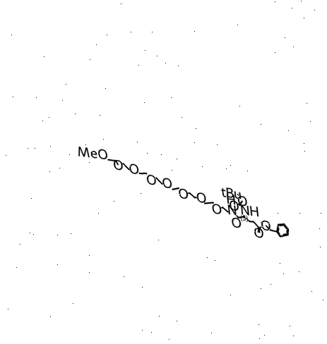 COCCOCCOCCOCCOCCOCCOCCOCCNC(=O)[C@H](CCC(=O)OCc1ccccc1)NC(=O)OC(C)(C)C